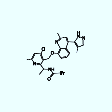 Cc1cc(Cl)c(COc2cccc3c(-c4[nH]ncc4C)cc(C)nc23)c(C(C)NC(=O)C(C)C)n1